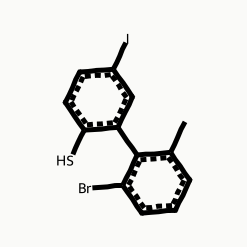 Cc1cccc(Br)c1-c1cc(I)ccc1S